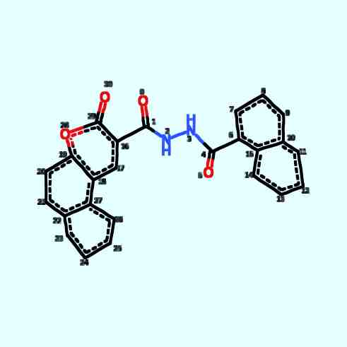 O=C(NNC(=O)c1cccc2ccccc12)c1cc2c(ccc3ccccc32)oc1=O